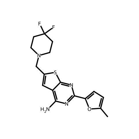 Cc1ccc(-c2nc(N)c3cc(CN4CCC(F)(F)CC4)sc3n2)o1